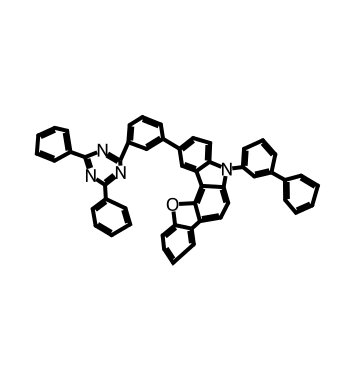 c1ccc(-c2cccc(-n3c4ccc(-c5cccc(-c6nc(-c7ccccc7)nc(-c7ccccc7)n6)c5)cc4c4c5oc6ccccc6c5ccc43)c2)cc1